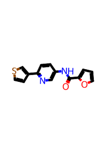 O=C(Nc1ccc(-c2ccsc2)nc1)c1ccco1